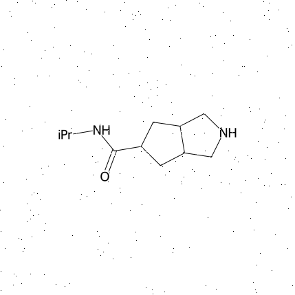 CC(C)NC(=O)C1CC2CNCC2C1